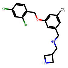 FC(F)(F)c1cc(CNCC2CNC2)cc(OCc2ccc(Cl)cc2Br)c1